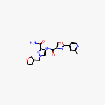 Cc1cc(-c2nc(C(=O)Nc3cn(CC4CCOC4)nc3C(N)=O)co2)ccn1